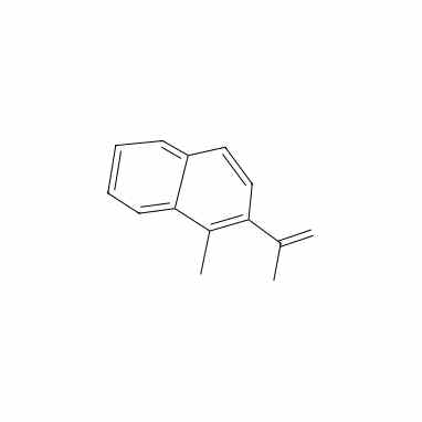 C=C(C)c1ccc2ccccc2c1C